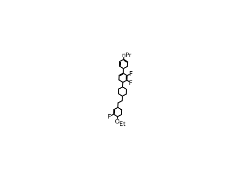 CCCC1=CCC(C2=CCC(C3CCC(CCC4C=C(F)C(OCC)CC4)CC3)C(F)=C2F)C=C1